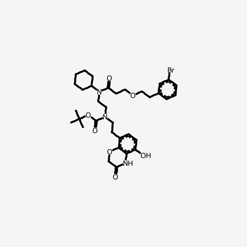 CC(C)(C)OC(=O)N(CCc1ccc(O)c2c1OCC(=O)N2)CCN(C(=O)CCOCCc1cccc(Br)c1)C1CCCCC1